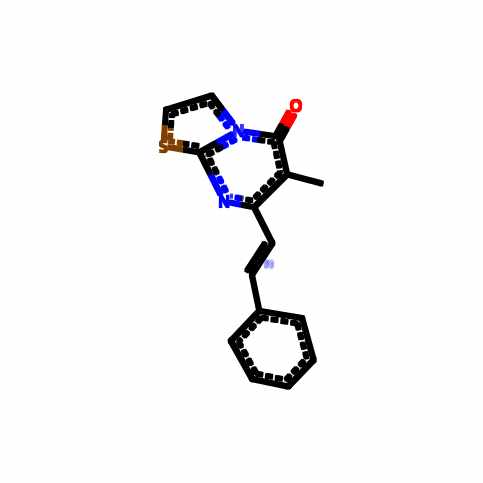 Cc1c(/C=C/c2ccccc2)nc2sccn2c1=O